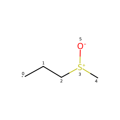 [CH2]CC[S+](C)[O-]